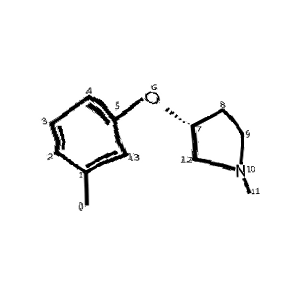 Cc1cccc(O[C@@H]2CCN(C)C2)c1